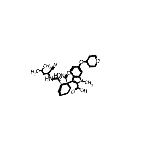 CC(C)CC(C#N)NC(=O)[C@@H]1CCCC[C@@]1(C(N)=O)c1c(C(=O)O)n(C)c2cc(OC3CCOCC3)ccc12